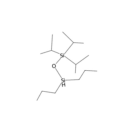 CCC[SiH](CCC)O[Si](C(C)C)(C(C)C)C(C)C